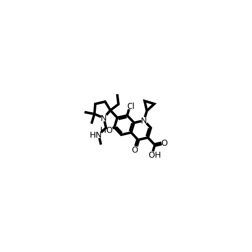 CCC1(c2c(O)cc3c(=O)c(C(=O)O)cn(C4CC4)c3c2Cl)CCC(C)(C)N1CNC